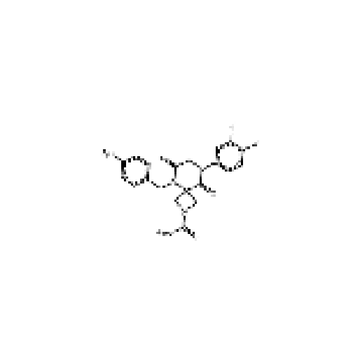 CNC(=O)N1CC2(C1)C(=O)N(c1ccc(F)c(F)c1)CC(=O)N2Cc1ccc(C(F)(F)F)cc1